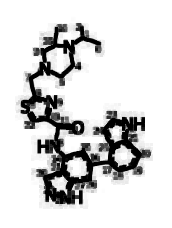 CC(C)N1CCN(Cc2nc(C(=O)Nc3cc(-c4cccc5[nH]ccc45)cc4[nH]ncc34)cs2)CC1C